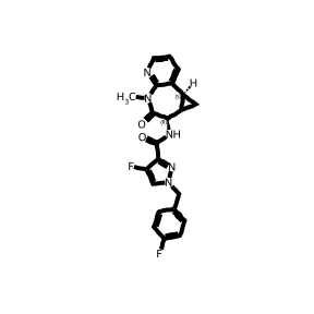 CN1C(=O)[C@H](NC(=O)c2nn(Cc3ccc(F)cc3)cc2F)C2C[C@@H]2c2cccnc21